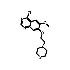 COc1cc2c(Cl)ncnc2cc1OCCN1CCSCC1